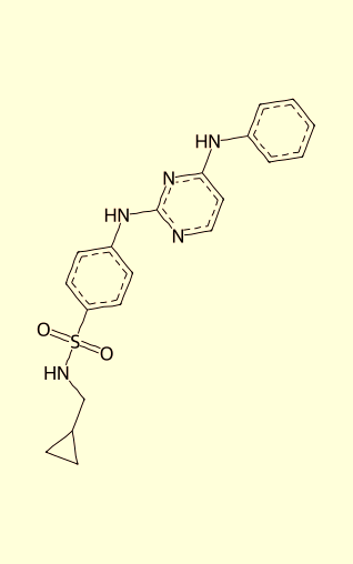 O=S(=O)(NCC1CC1)c1ccc(Nc2nccc(Nc3ccccc3)n2)cc1